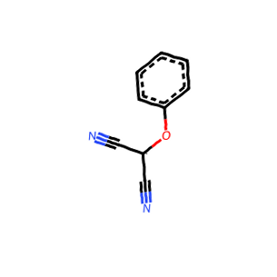 N#C[C](C#N)Oc1ccccc1